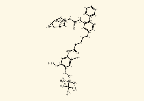 COc1cc(NC(=O)CCCCc2ccc(-c3ccccc3)c(NC(=O)OC3CC4C5OC5C(C3)N4C)c2)c(Cl)cc1CO[Si](C)(C)C(C)(C)C